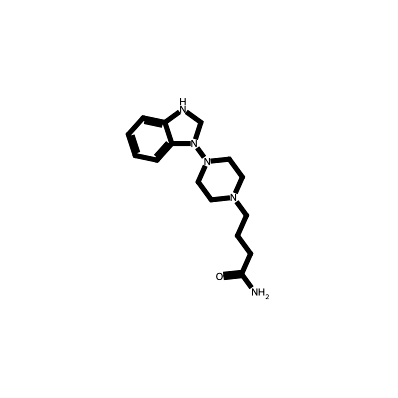 NC(=O)CCCN1CCN(N2CNc3ccccc32)CC1